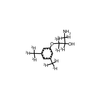 [2H]C([2H])([2H])c1cc(OC([2H])([2H])C([2H])(O)C([2H])([2H])N)cc(C([2H])([2H])[2H])c1